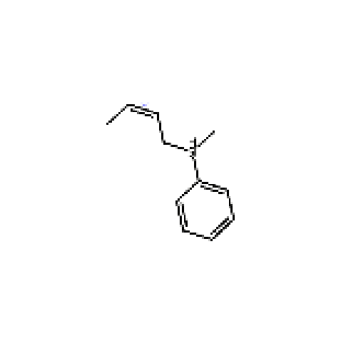 C/C=C\C[SiH](C)c1ccccc1